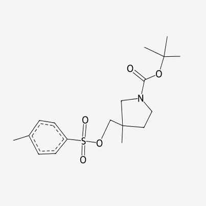 Cc1ccc(S(=O)(=O)OCC2(C)CCN(C(=O)OC(C)(C)C)C2)cc1